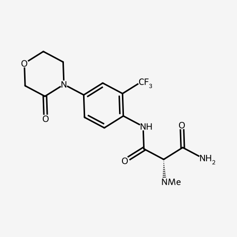 CN[C@@H](C(N)=O)C(=O)Nc1ccc(N2CCOCC2=O)cc1C(F)(F)F